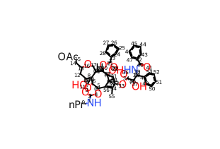 CCCNC(=O)O[C@H]1C(=O)[C@]2(C)[C@@H](O)CC(COC(C)=O)OC[C@H]2[C@H](OC(=O)c2ccccc2)[C@]2(O)C[C@H](OC(=O)[C@H](O)[C@@H](NC(=O)c3ccccc3)c3ccccc3)C(C)=C1C2(C)C